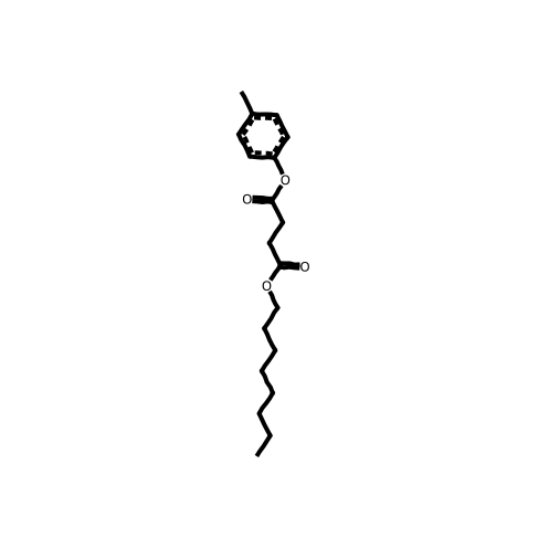 CCCCCCCCOC(=O)CCC(=O)Oc1ccc(C)cc1